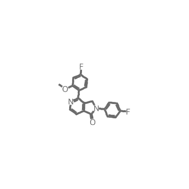 COc1cc(F)ccc1-c1nccc2c1CN(c1ccc(F)cc1)C2=O